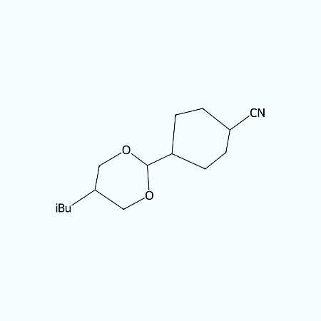 CCC(C)C1COC(C2CCC(C#N)CC2)OC1